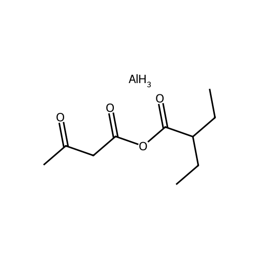 CCC(CC)C(=O)OC(=O)CC(C)=O.[AlH3]